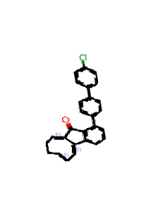 O=C1C2=C/CC/C=C/C=C\2c2cccc(-c3ccc(-c4ccc(Cl)cc4)cc3)c21